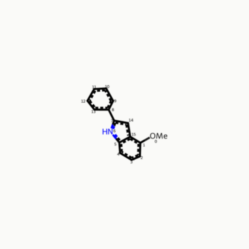 COc1c[c]cc2[nH]c(-c3ccccc3)cc12